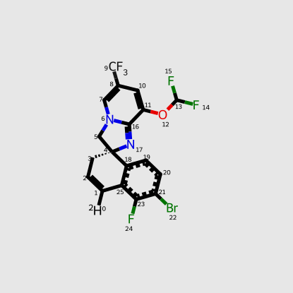 [2H]C1=CC[C@@]2(CN3C=C(C(F)(F)F)C=C(OC(F)F)C3=N2)c2ccc(Br)c(F)c21